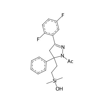 CC(=O)N1N=C(c2cc(F)ccc2F)CC1(CC[Si](C)(C)O)c1ccccc1